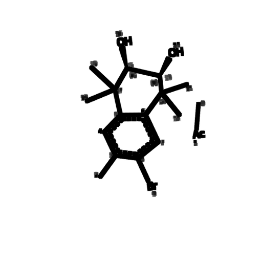 CC(C)=O.Cc1cc2c(cc1Br)C(C)(C)[C@H](O)[C@H](O)C2(C)C